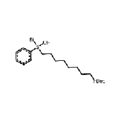 CCCCCCCCCCCCCCCCCCS(O)(CC)c1ccccc1